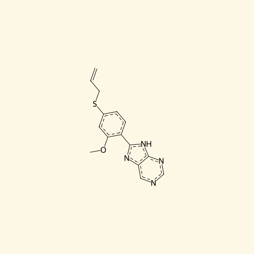 C=CCSc1ccc(-c2nc3cncnc3[nH]2)c(OC)c1